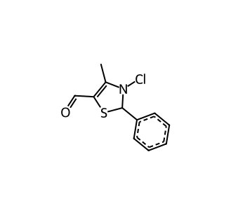 CC1=C(C=O)SC(c2ccccc2)N1Cl